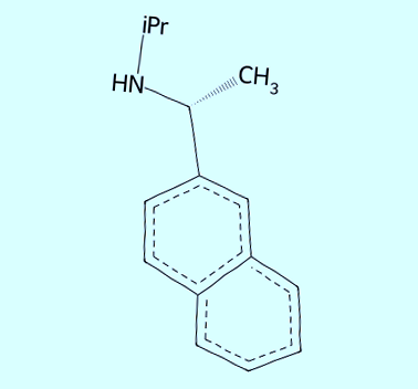 CC(C)N[C@H](C)c1ccc2ccccc2c1